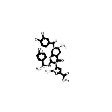 COC(=O)c1cc(-n2c(N[C@@H](C)c3ccc(C(F)(F)F)cc3)nc3c(c2=O)C[C@@H](C)N(C(=O)c2ccc(Cl)c(Cl)c2)C3)n(C)n1